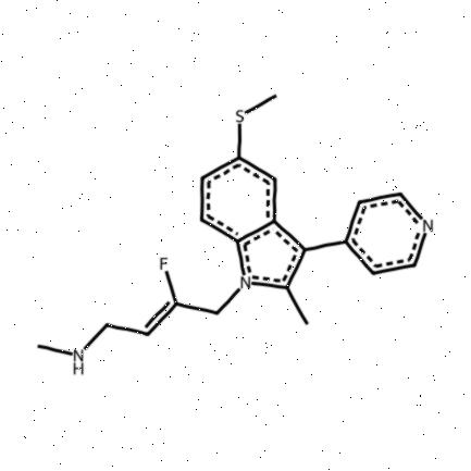 CNC/C=C(\F)Cn1c(C)c(-c2ccncc2)c2cc(SC)ccc21